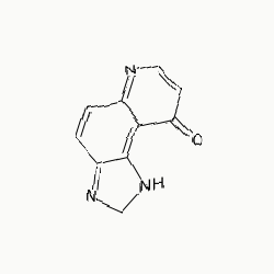 O=C1C=CN=c2ccc3c(c21)NCN=3